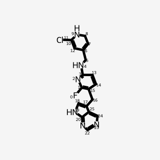 Fc1nc(NCC2=CCNC(Cl)=C2)ccc1Cc1c[nH]c2ncncc12